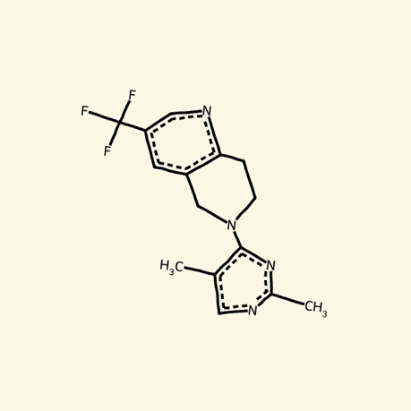 Cc1ncc(C)c(N2CCc3ncc(C(F)(F)F)cc3C2)n1